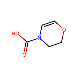 O=C(O)N1C=COCC1